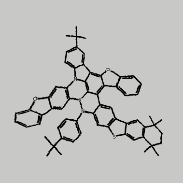 CC(C)(C)c1ccc(N2B3c4cc5c(cc4-n4c6ccc(C(C)(C)C)cc6c6c7oc8ccccc8c7c(c3c64)-c3cc4c(cc32)sc2cc3c(cc24)C(C)(C)CCC3(C)C)oc2ccccc25)cc1